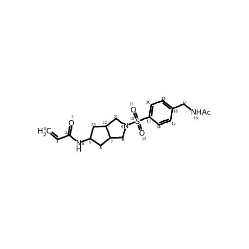 C=CC(=O)NC1CC2CN(S(=O)(=O)c3ccc(CNC(C)=O)cc3)CC2C1